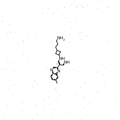 Cc1ccc2ncc(/C(C=N)=C/NC3CC(CCCN)C3)nc2c1